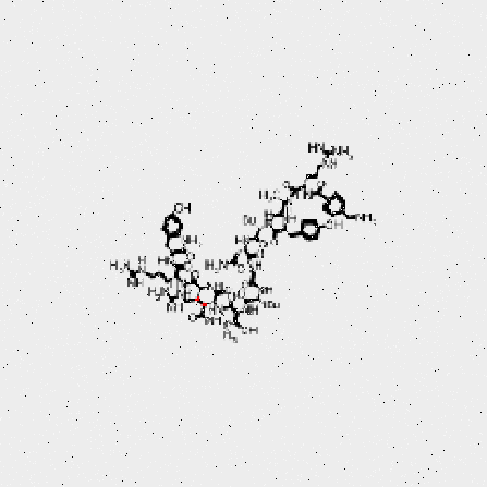 CC[C@H](C)[C@H](NC(=O)CNC(=O)[C@H](CC(N)=O)NC(=O)[C@@H](NC(=O)[C@H](Cc1ccc(O)cc1)NC(=O)[C@H](C)NC(=O)[C@H](CCCNC(=N)N)NC(=O)c1ccc(CN)cc1)[C@@H](C)CC)C(=O)N[C@H](C(=O)N[C@@H](CCCNC(=N)N)C(=O)N[C@@H](CCC(N)=O)C(=O)N[C@@H](CCCNC(=N)N)C(=O)N[C@@H](Cc1ccc(O)cc1)C(N)=O)[C@@H](C)O